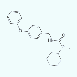 C[C@@H](C(=O)NCc1ccc(Oc2ccccc2)cc1)C1CCCCC1